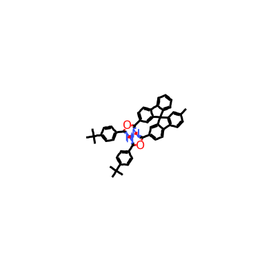 Cc1ccc2c(c1)C1(c3ccccc3-c3ccc(-c4nnc(-c5ccc(C(C)(C)C)cc5)o4)cc31)c1cc(-c3nnc(-c4ccc(C(C)(C)C)cc4)o3)ccc1-2